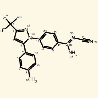 Cc1ccc(-c2cc(C(F)(F)F)nn2-c2ccc(/S(N)=N/C#N)cc2)cc1